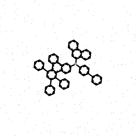 c1ccc(-c2ccc(N(c3ccc4c(c3)c3ccccc3c3c(-c5ccccc5)cc(-c5ccccc5)c(-c5ccccc5)c43)c3cc4ccccc4c4ccccc34)cc2)cc1